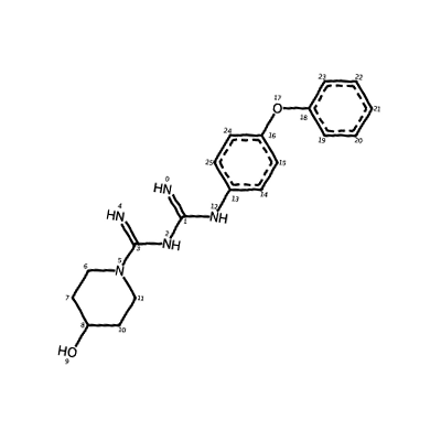 N=C(NC(=N)N1CCC(O)CC1)Nc1ccc(Oc2ccccc2)cc1